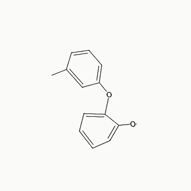 Cc1cccc(Oc2ccccc2[O])c1